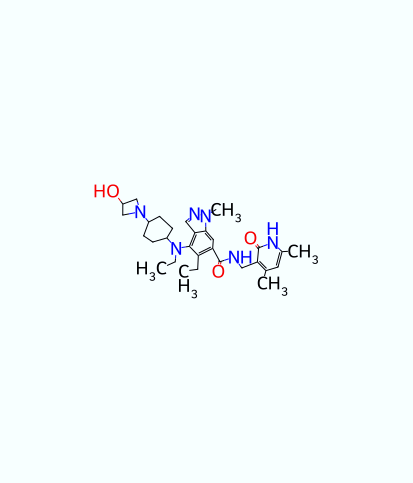 CCc1c(C(=O)NCc2c(C)cc(C)[nH]c2=O)cc2c(cnn2C)c1N(CC)C1CCC(N2CC(O)C2)CC1